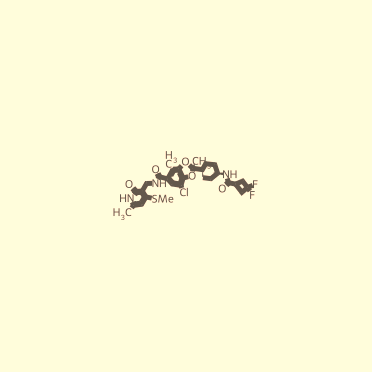 CSc1cc(C)[nH]c(=O)c1CNC(=O)c1cc(Cl)c2c(c1C)O[C@@](C)([C@H]1CC[C@H](NC(=O)C3CC(F)(F)C3)CC1)O2